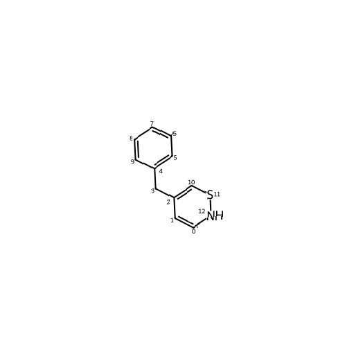 [C]1=CC(Cc2ccccc2)=CSN1